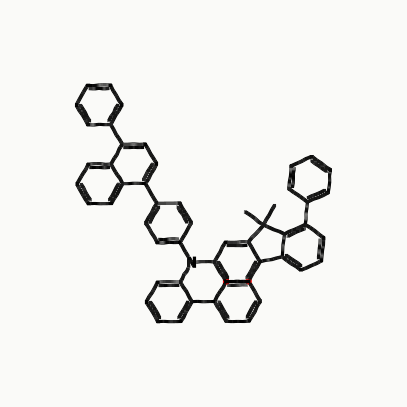 CC1(C)c2cc(N(c3ccc(-c4ccc(-c5ccccc5)c5ccccc45)cc3)c3ccccc3-c3ccccc3)ccc2-c2cccc(-c3ccccc3)c21